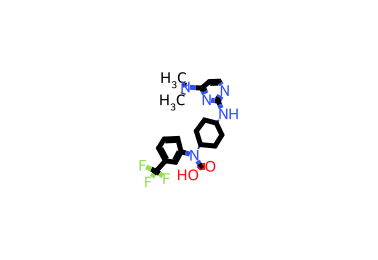 CN(C)c1ccnc(N[C@H]2CC[C@@H](N(C(=O)O)c3cccc(C(F)(F)F)c3)CC2)n1